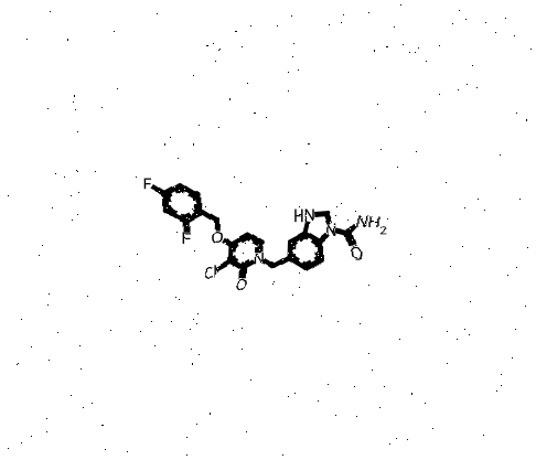 NC(=O)N1CNc2cc(Cn3ccc(OCc4ccc(F)cc4F)c(Cl)c3=O)ccc21